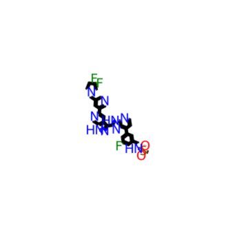 CS(=O)(=O)NCc1cc(F)cc(-c2ccnc3[nH]c(-c4n[nH]c5cnc(-c6cncc(CN7CCC(F)(F)C7)c6)cc45)nc23)c1